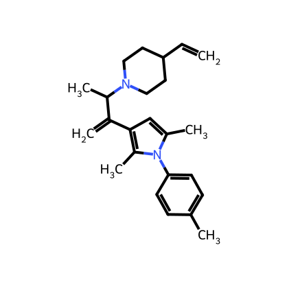 C=CC1CCN(C(C)C(=C)c2cc(C)n(-c3ccc(C)cc3)c2C)CC1